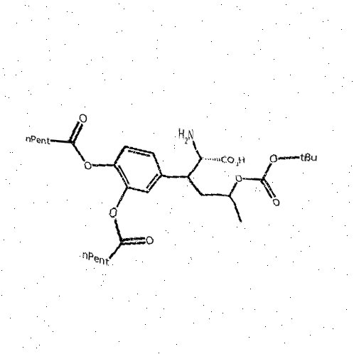 CCCCCC(=O)Oc1ccc(C(CC(C)OC(=O)OC(C)(C)C)[C@H](N)C(=O)O)cc1OC(=O)CCCCC